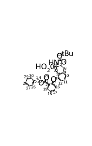 CC(C)(C)OC(=O)N[C@]1(C(=O)O)CCc2cccc(Oc3ccccc3C(=O)OCc3ccccc3)c2C1